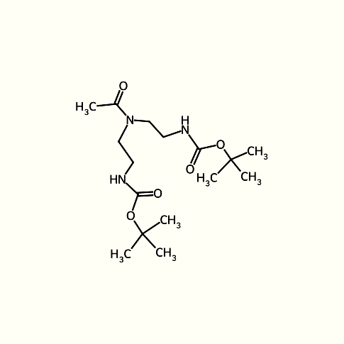 CC(=O)N(CCNC(=O)OC(C)(C)C)CCNC(=O)OC(C)(C)C